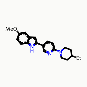 CCC1CCN(c2ccc(-c3cc4cc(OC)ccc4[nH]3)cn2)CC1